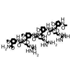 COc1ccc(NC(=O)[C@@H](CCCNC(=N)N)NC(=O)c2cc(NC(=O)[C@@H](CCCNC(=N)N)NC(=O)c3cc(NC(=O)[C@@H](CCCNC(=N)N)NC(=O)c4cc(NC(C)=O)ccc4OC)ccc3OC)ccc2OC)cc1C(N)=O